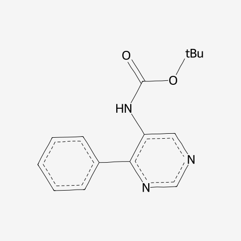 CC(C)(C)OC(=O)Nc1cncnc1-c1ccccc1